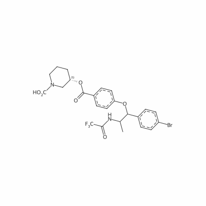 CC(NC(=O)C(F)(F)F)C(Oc1ccc(C(=O)O[C@H]2CCCN(C(=O)O)C2)cc1)c1ccc(Br)cc1